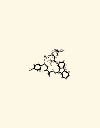 CN(C[C@@H](Cc1ccc(Cl)cc1)N(C)C(=O)OCC1c2ccccc2-c2ccccc21)C(=O)[C@@H](CC(=O)O)N(C)C